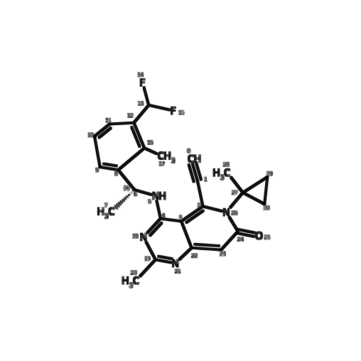 C#Cc1c2c(N[C@H](C)c3cccc(C(F)F)c3C)nc(C)nc2cc(=O)n1C1(C)CC1